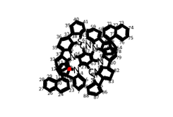 N#Cc1c(-n2c3ccccc3c3ccccc32)c(-n2c3cc(-c4cccc5ccccc45)ccc3c3ccc4c5ccccc5sc4c32)c(C#N)c(-n2c3ccccc3c3ccccc32)c1-n1c2cc(-c3cccc4ccccc34)ccc2c2ccc3c4ccccc4sc3c21